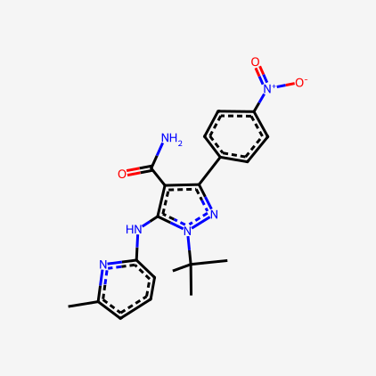 Cc1cccc(Nc2c(C(N)=O)c(-c3ccc([N+](=O)[O-])cc3)nn2C(C)(C)C)n1